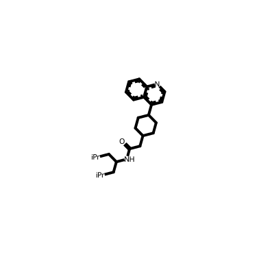 CC(C)CC(CC(C)C)NC(=O)CC1CCC(c2ccnc3ccccc23)CC1